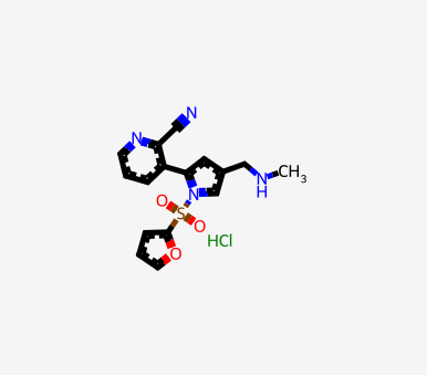 CNCc1cc(-c2cccnc2C#N)n(S(=O)(=O)c2ccco2)c1.Cl